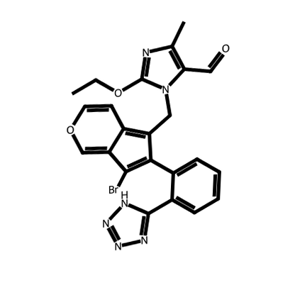 CCOc1nc(C)c(C=O)n1Cc1c2ccocc-2c(Br)c1-c1ccccc1-c1nnn[nH]1